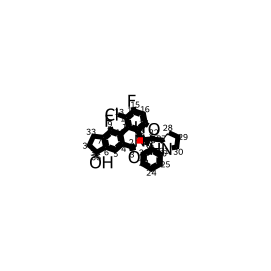 CNC(=O)c1cc2c(c(F)c1-c1c(Cl)c(F)cc3c1C[C@](c1ccccc1)([C@@H]1CCCN1)O3)CC[C@@H]2O